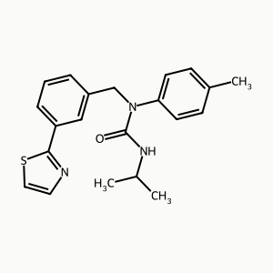 Cc1ccc(N(Cc2cccc(-c3nccs3)c2)C(=O)NC(C)C)cc1